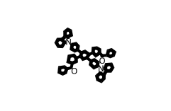 O=C(c1ccccc1)c1cccc(-c2cc(-c3ccc(-n4c5ccccc5c5ccccc54)cc3)c(-c3cccc(C(=O)c4ccccc4)c3)cc2-c2ccc(-n3c4ccccc4c4ccccc43)cc2)c1